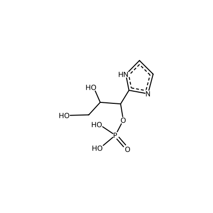 O=P(O)(O)OC(c1ncc[nH]1)C(O)CO